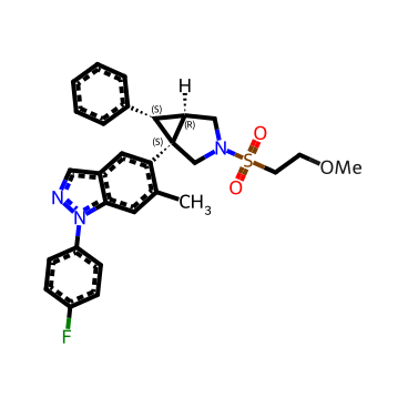 COCCS(=O)(=O)N1C[C@@H]2[C@@H](c3ccccc3)[C@]2(c2cc3cnn(-c4ccc(F)cc4)c3cc2C)C1